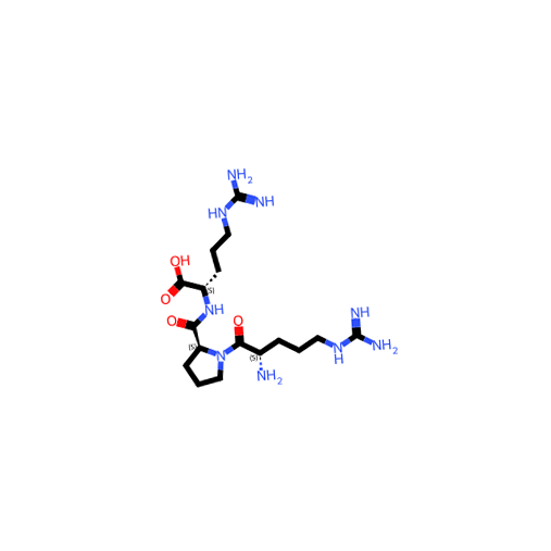 N=C(N)NCCC[C@H](NC(=O)[C@@H]1CCCN1C(=O)[C@@H](N)CCCNC(=N)N)C(=O)O